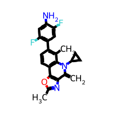 C=C1c2nc(C)oc2-c2ccc(-c3cc(F)c(N)cc3F)c(C)c2N1C1CC1